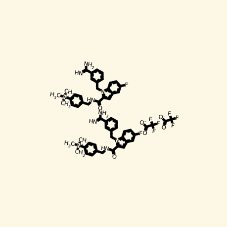 C[N+](C)(C)c1ccc(CNC(=O)c2cc3cc(F)ccc3n2Cc2cccc(C(=N)N)c2)cc1.C[N+](C)(C)c1ccc(CNC(=O)c2cc3cc(F)ccc3n2Cc2cccc(C(=N)N)c2)cc1.O=C([O-])C(F)(F)F.O=C([O-])C(F)(F)F